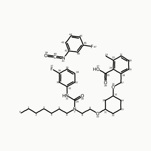 CCCCCCCN(CCOC1CCCC(OCc2cccc(C)c2C(=O)O)C1)C(=O)Nc1cccc(F)c1.O=C=Nc1cccc(F)c1